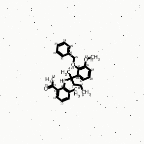 CCCC(C)(Pc1c(C)cccc1C(C)=O)c1cccc(OC)c1OCc1ccccc1